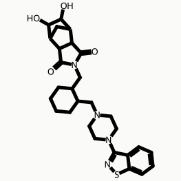 O=C1C2C3CC(C(O)C3O)C2C(=O)N1CC1CCCCC1CN1CCN(c2nsc3ccccc23)CC1